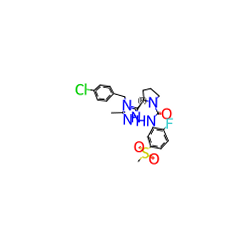 Cc1nnc([C@H]2CCCN2C(=O)Nc2cc(S(C)(=O)=O)ccc2F)n1Cc1ccc(Cl)cc1